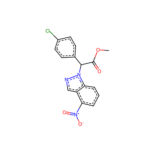 COC(=O)C(c1ccc(Cl)cc1)n1ncc2c([N+](=O)[O-])cccc21